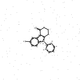 O=C1CCCc2c1c1cc(I)ccc1n2-c1ncccn1